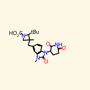 Cn1c(=O)n(C2CCC(=O)NC2=O)c2ccc(CC3(C)CN(C(=O)O)C3C(C)(C)C)cc21